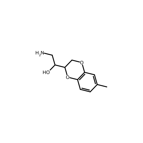 Cc1ccc2c(c1)OCC(C(O)CN)O2